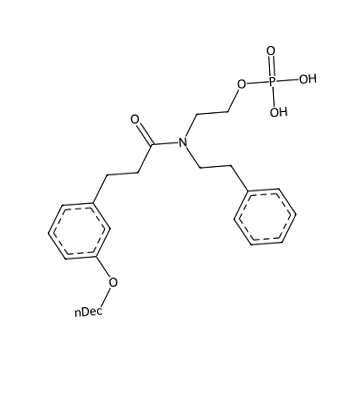 CCCCCCCCCCOc1cccc(CCC(=O)N(CCOP(=O)(O)O)CCc2ccccc2)c1